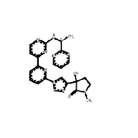 C[C@H](Nc1nccc(-c2cccc(-n3cc(C4(O)CCN(C)C4=O)nn3)n2)n1)c1ncccn1